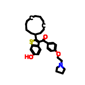 O=C(c1ccc(OCCN2CCCC2)cc1)c1c(C2CCCCCCCCCCC2)sc2cc(O)ccc12